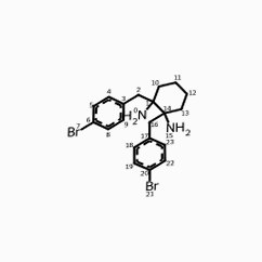 NC1(Cc2ccc(Br)cc2)CCCCC1(N)Cc1ccc(Br)cc1